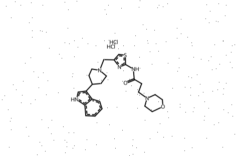 Cl.Cl.O=C(CCN1CCOCC1)Nc1nc(CN2CCC(c3c[nH]c4ccccc34)CC2)cs1